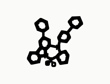 O=S1(=O)c2ccccc2N(c2ccc(-c3ccccc3)cc2)c2cc(-c3ccccc3)cc3c4ccccc4n1c23